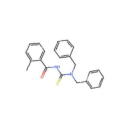 Cc1ccccc1C(=O)NC(=S)N(Cc1ccccc1)Cc1ccccc1